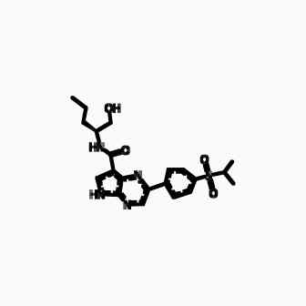 CCC[C@@H](CO)NC(=O)c1c[nH]c2ncc(-c3ccc(S(=O)(=O)C(C)C)cc3)nc12